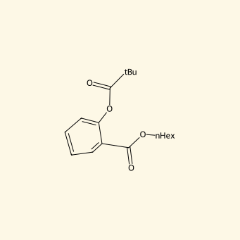 CCCCCCOC(=O)c1ccccc1OC(=O)C(C)(C)C